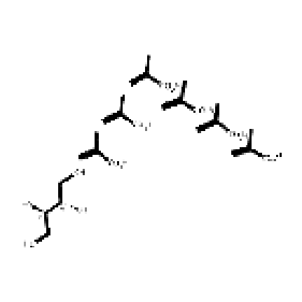 C=C(C)C(=O)O.C=C(C)C(=O)O.C=C(C)C(=O)O.C=C(C)C(=O)O.C=C(C)C(=O)O.C=C(C)C(=O)O.OC[C@@H](O)[C@@H](O)CO